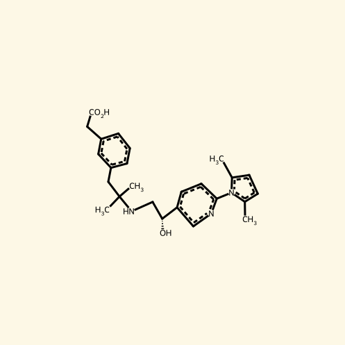 Cc1ccc(C)n1-c1ccc([C@H](O)CNC(C)(C)Cc2cccc(CC(=O)O)c2)cn1